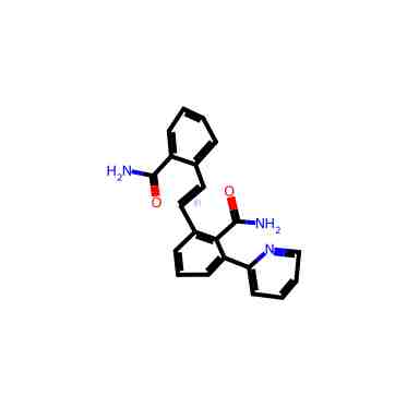 NC(=O)c1ccccc1/C=C/c1cccc(-c2ccccn2)c1C(N)=O